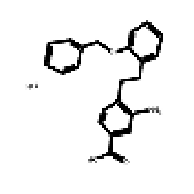 Cl.Nc1cc(C(=O)O)ccc1CCc1ccccc1OCc1ccccc1